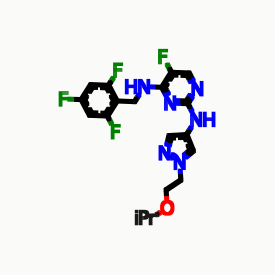 CC(C)OCCn1cc(Nc2ncc(F)c(NCc3c(F)cc(F)cc3F)n2)cn1